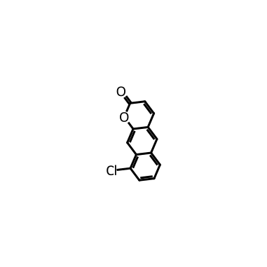 O=c1ccc2cc3cccc(Cl)c3cc2o1